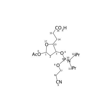 CC(=O)OC1CC(OP(OCCC#N)N(C(C)C)C(C)C)C(CCC(=O)O)O1